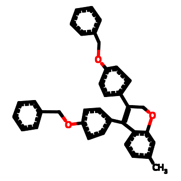 Cc1ccc2c(c1)OCC(c1ccc(OCc3ccccc3)cc1)=C2c1ccc(OCc2ccccc2)cc1